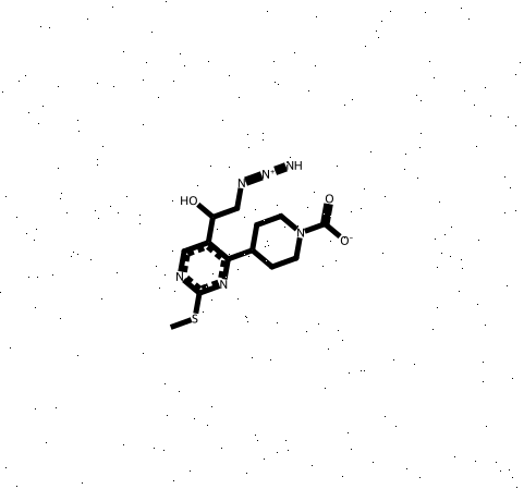 CSc1ncc(C(O)CN=[N+]=N)c(C2CCN(C(=O)[O-])CC2)n1